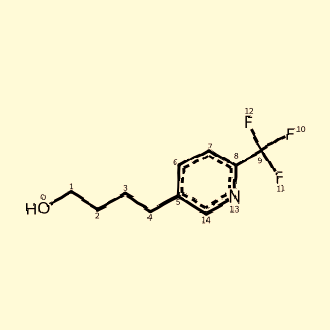 OCCCCc1ccc(C(F)(F)F)nc1